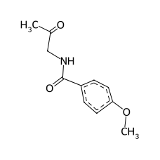 COc1ccc(C(=O)NCC(C)=O)cc1